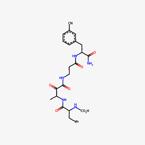 CC(C)CC(NC(=O)O)C(=O)NC(C)C(=O)C(=O)NCCC(=O)NC(Cc1cccc(C#N)c1)C(N)=O